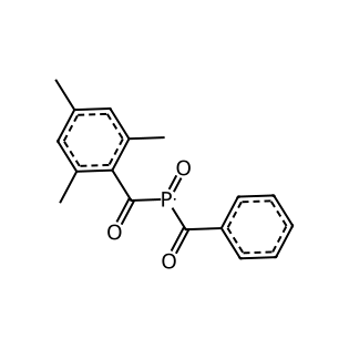 Cc1cc(C)c(C(=O)[P](=O)C(=O)c2ccccc2)c(C)c1